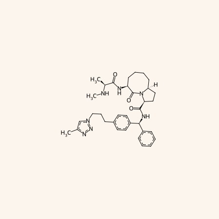 CN[C@@H](C)C(=O)N[C@H]1CCCC[C@H]2CC[C@@H](C(=O)N[C@@H](c3ccccc3)c3ccc(CCCn4cc(C)nn4)cc3)N2C1=O